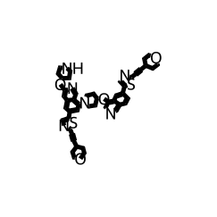 C(#CC1CCOCC1)c1ncc(-c2cc(N3CCC(Oc4cncc5ccc(-c6cnc(C#CC7CCOCC7)s6)cc45)CC3)c3cnc(OC4CCNCC4)cc3c2)s1